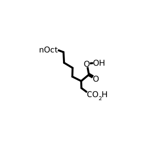 CCCCCCCCCCCCC(CC(=O)O)C(=O)OO